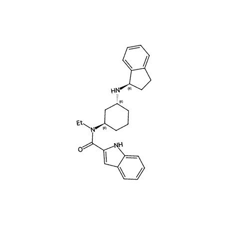 CCN(C(=O)c1cc2ccccc2[nH]1)[C@@H]1CCC[C@@H](N[C@@H]2CCc3ccccc32)C1